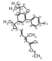 CCOC(=O)/C=C(C)/C=C/[C@@H]1C[C@]1(C)c1cc(-c2ccc(F)cc2)c2c(c1)C(C)(C)CO2